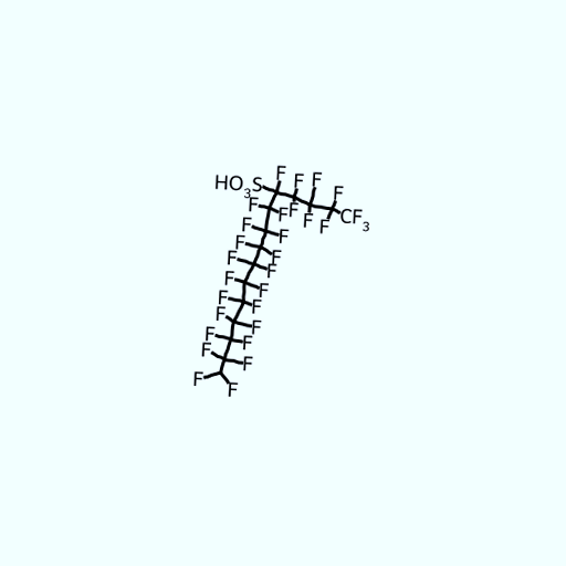 O=S(=O)(O)C(F)(C(F)(F)C(F)(F)C(F)(F)C(F)(F)F)C(F)(F)C(F)(F)C(F)(F)C(F)(F)C(F)(F)C(F)(F)C(F)(F)C(F)(F)C(F)(F)C(F)F